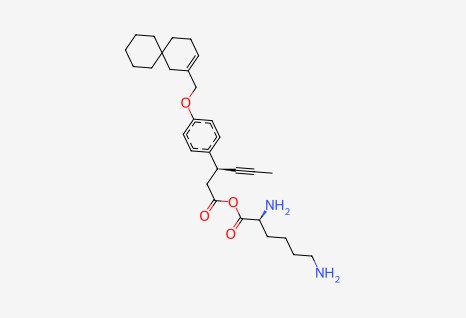 CC#C[C@@H](CC(=O)OC(=O)[C@@H](N)CCCCN)c1ccc(OCC2=CCCC3(CCCCC3)C2)cc1